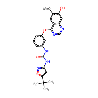 COc1cc2c(Oc3cccc(NC(=O)Nc4cc(C(C)(C)C(F)(F)F)on4)c3)ncnc2cc1O